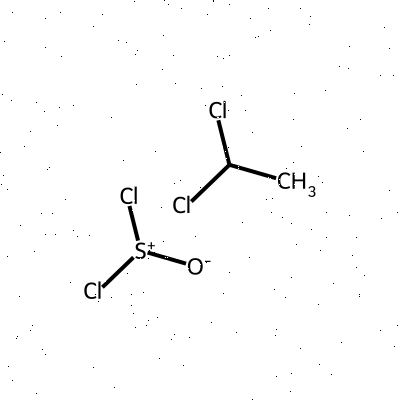 CC(Cl)Cl.[O-][S+](Cl)Cl